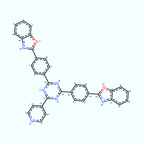 c1ccc2oc(-c3ccc(-c4nc(-c5ccncc5)nc(-c5ccc(-c6nc7ccccc7o6)cc5)n4)cc3)nc2c1